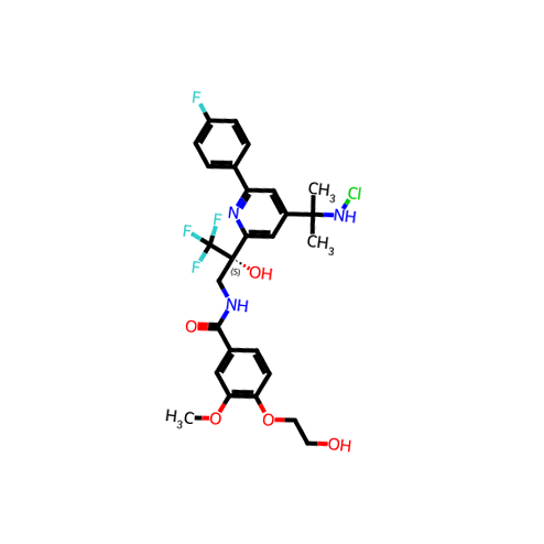 COc1cc(C(=O)NC[C@](O)(c2cc(C(C)(C)NCl)cc(-c3ccc(F)cc3)n2)C(F)(F)F)ccc1OCCO